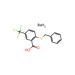 O=C(O)c1cc(C(F)(F)F)ccc1SCc1ccccc1.[BaH2]